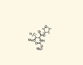 CO[C@@H](C)[C@H](NC(=O)OC(C)(C)C)C(=O)O[C@@H]1CCOC1